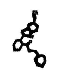 C#Cc1ccc2[nH]c(C3CCCCN3C(=O)OCc3ccccc3)nc2c1